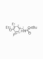 CCOc1c(F)cc(CNC(=O)OC(C)(C)C)cc1F